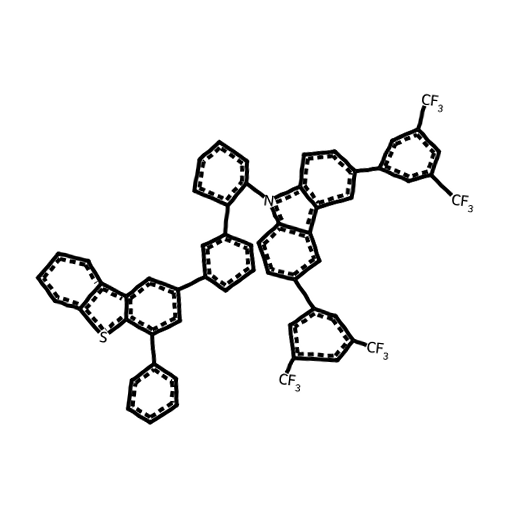 FC(F)(F)c1cc(-c2ccc3c(c2)c2cc(-c4cc(C(F)(F)F)cc(C(F)(F)F)c4)ccc2n3-c2ccccc2-c2cccc(-c3cc(-c4ccccc4)c4sc5ccccc5c4c3)c2)cc(C(F)(F)F)c1